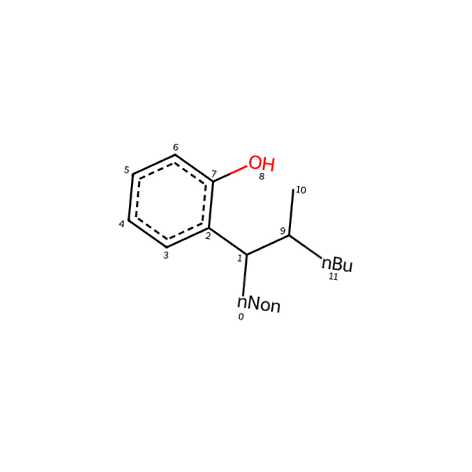 CCCCCCCCCC(c1ccccc1O)C(C)CCCC